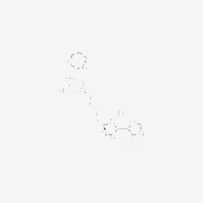 Cc1ncoc1-c1nnc(SCCCN2C[C@H]3C[C@@]3(c3ncccn3)C2)n1C